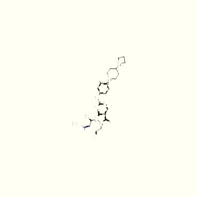 C=CCn1c(=O)c2cnc(Nc3ccc(N4CCC(N5CCC5)CC4)c(C)c3)nc2n1C(=N)/C=C\C=O